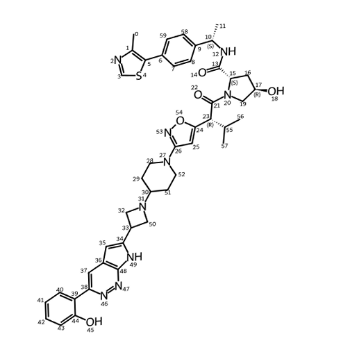 Cc1ncsc1-c1ccc([C@H](C)NC(=O)[C@@H]2C[C@@H](O)CN2C(=O)[C@@H](c2cc(N3CCC(N4CC(c5cc6cc(-c7ccccc7O)nnc6[nH]5)C4)CC3)no2)C(C)C)cc1